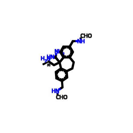 C[C@@H](N)CC1(C(=N)N)c2ccc(CNC=O)cc2CCc2cc(CNC=O)ccc21